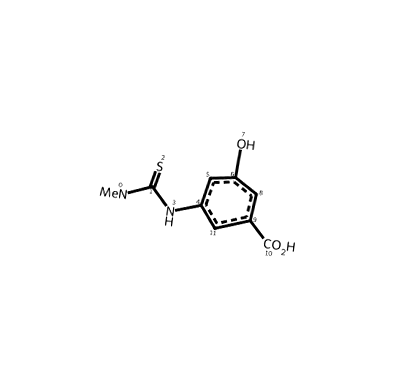 CNC(=S)Nc1cc(O)cc(C(=O)O)c1